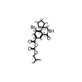 CC(C)COC(=O)OC(=O)c1cc(Br)c2c(c1)C(=O)NCC21CCCC1